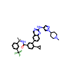 C[C@@H](NC(=O)c1ccc(C2CC2)c(-c2ccc3nc(Nc4cnn(C5CCN(C)CC5)c4)ncc3c2)c1)c1cccc(C(F)(F)F)c1